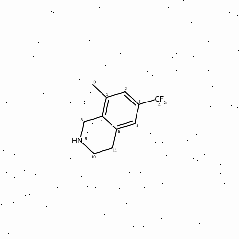 Cc1cc(C(F)(F)F)cc2c1CNCC2